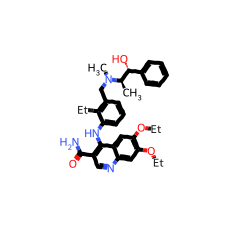 CCOc1cc2ncc(C(N)=O)c(Nc3cccc(CN(C)[C@H](C)[C@H](O)c4ccccc4)c3CC)c2cc1OCC